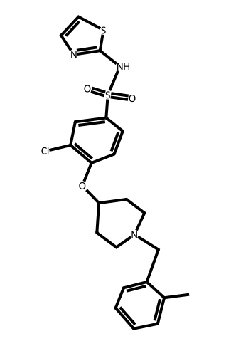 Cc1ccccc1CN1CCC(Oc2ccc(S(=O)(=O)Nc3nccs3)cc2Cl)CC1